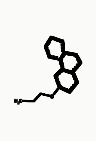 CCCOc1ccc2ccc3ccccc3c2c1